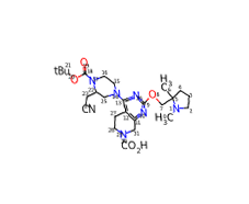 CN1CCCC1(C)COc1nc2c(c(N3CCN(C(=O)OC(C)(C)C)C(CC#N)C3)n1)CCN(C(=O)O)C2